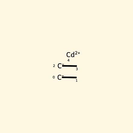 [CH2-]C.[CH2-]C.[Cd+2]